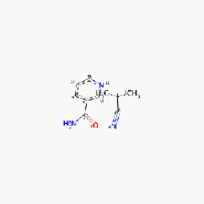 CC(C)C#N.NC(=O)c1cccnc1